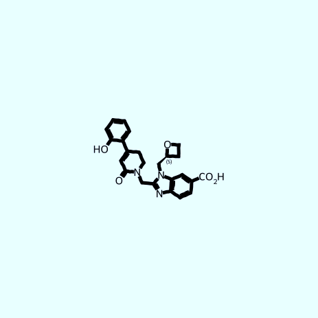 O=C(O)c1ccc2nc(CN3CCC(c4ccccc4O)=CC3=O)n(C[C@@H]3CCO3)c2c1